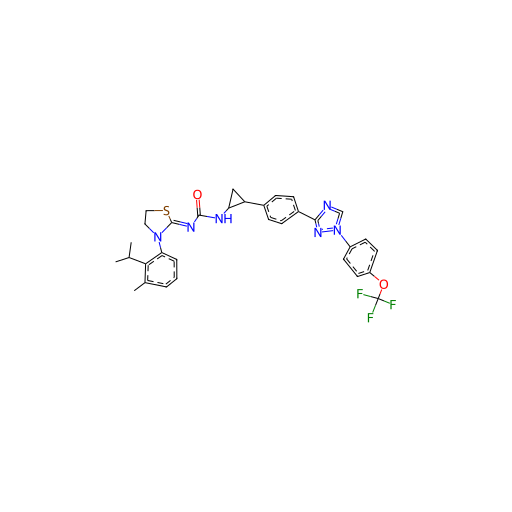 Cc1cccc(N2CCS/C2=N\C(=O)NC2CC2c2ccc(-c3ncn(-c4ccc(OC(F)(F)F)cc4)n3)cc2)c1C(C)C